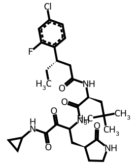 CC[C@@H](CC(=O)N[C@@H](CC(C)(C)C)C(=O)NC(C[C@@H]1CCNC1=O)C(=O)C(=O)NC1CC1)c1ccc(Cl)cc1F